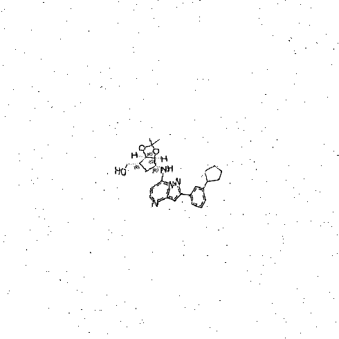 CC1(C)O[C@@H]2[C@@H](CO)C[C@@H](Nc3ccnc4cc(-c5cccc(C6CCCC6)c5)nn34)[C@@H]2O1